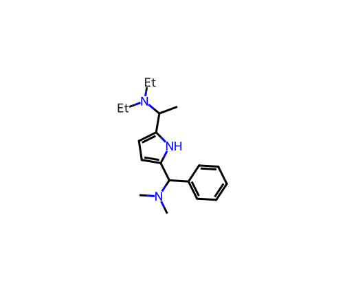 CCN(CC)C(C)c1ccc(C(c2ccccc2)N(C)C)[nH]1